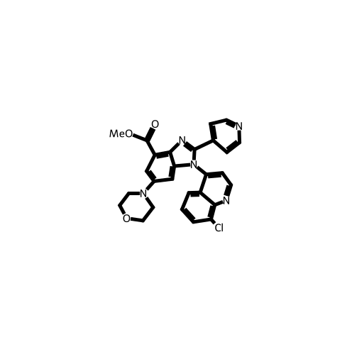 COC(=O)c1cc(N2CCOCC2)cc2c1nc(-c1ccncc1)n2-c1ccnc2c(Cl)cccc12